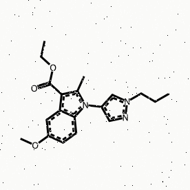 CCCn1cc(-n2c(C)c(C(=O)OCC)c3cc(OC)ccc32)cn1